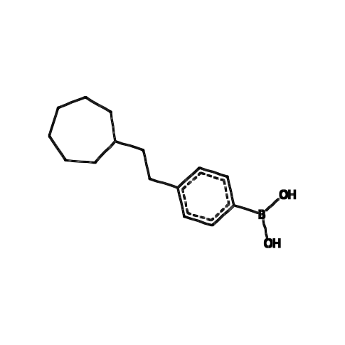 OB(O)c1ccc(CCC2CCCCCC2)cc1